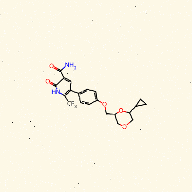 NC(=O)c1cc(-c2ccc(OC[C@@H]3COCC(C4CC4)O3)cc2)c(C(F)(F)F)[nH]c1=O